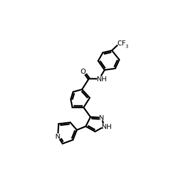 O=C(Nc1ccc(C(F)(F)F)cc1)c1cccc(-c2n[nH]cc2-c2ccncc2)c1